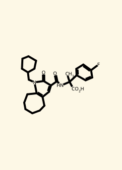 CC(NC(=O)c1cc2c(n(CC3CCCCC3)c1=O)CCCCCC2)(C(=O)O)c1ccc(F)cc1